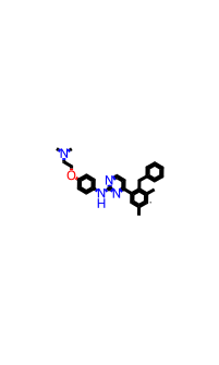 Cc1[c]c(C)c(Cc2ccccc2)c(-c2ccnc(Nc3ccc(OCCN(C)C)cc3)n2)c1